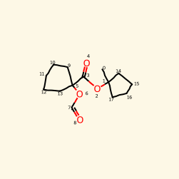 CC1(OC(=O)C2(O[C]=O)CCCCC2)CCCC1